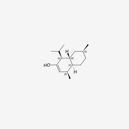 CC(C)[C@@H]1C(O)=C[C@H](C)[C@@H]2CC[C@H](C)C[C@H]21